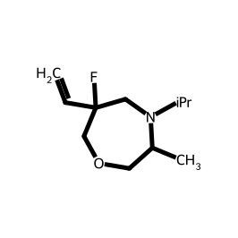 C=CC1(F)COCC(C)N(C(C)C)C1